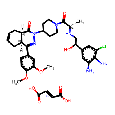 COc1ccc(C2=NN(C3CCN(C(=O)[C@H](C)NCC(O)c4cc(N)c(N)c(Cl)c4)CC3)C(=O)[C@@H]3CC=CC[C@H]23)cc1OC.O=C(O)/C=C/C(=O)O